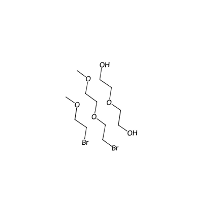 COCCBr.COCCOCCBr.OCCOCCO